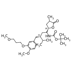 COCCCOc1cc(C[C@@H](CC(NC(=O)OC(C)(C)C)[C@H]2CC(C)C(=O)O2)C(C)C)ccc1OC